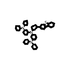 c1ccc(N(c2ccccc2)c2cccc(N(c3cccc(-c4ccc5c(c4)sc4ccccc45)c3)c3cccc(N(c4ccccc4)c4ccccc4)c3)c2)cc1